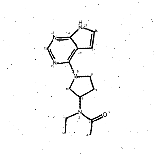 CCN(C(C)=O)C1CCN(c2ncnc3[nH]ccc23)C1